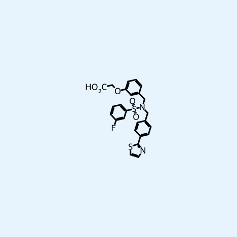 O=C(O)COc1cccc(CN(Cc2ccc(-c3nccs3)cc2)S(=O)(=O)c2cccc(F)c2)c1